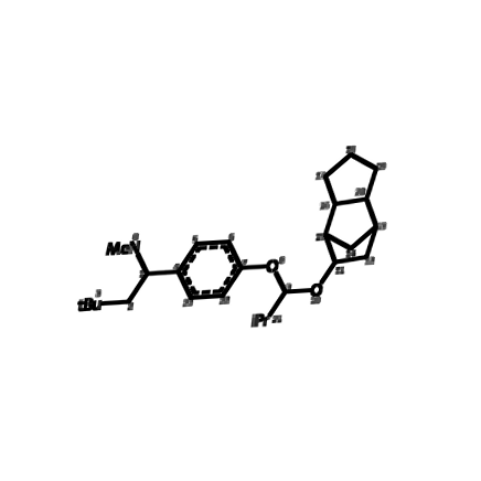 CNC(CC(C)(C)C)c1ccc(OC(OC2CC3CC2C2CCCC32)C(C)C)cc1